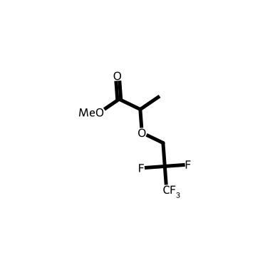 COC(=O)C(C)OCC(F)(F)C(F)(F)F